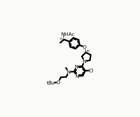 CC(=O)N[C@@H](C)c1ccc(O[C@@H]2CCN(c3nc(N(C)CCOC(C)(C)C)ncc3Cl)C2)cc1